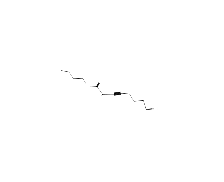 CCCCOC(=O)C(O)C#CCCCCO